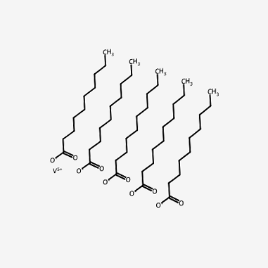 CCCCCCCCCC(=O)[O-].CCCCCCCCCC(=O)[O-].CCCCCCCCCC(=O)[O-].CCCCCCCCCC(=O)[O-].CCCCCCCCCC(=O)[O-].[V+5]